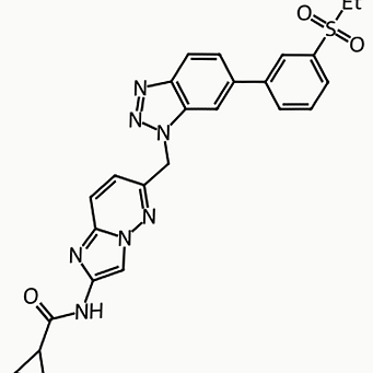 CCS(=O)(=O)c1cccc(-c2ccc3nnn(Cc4ccc5nc(NC(=O)C6CC6)cn5n4)c3c2)c1